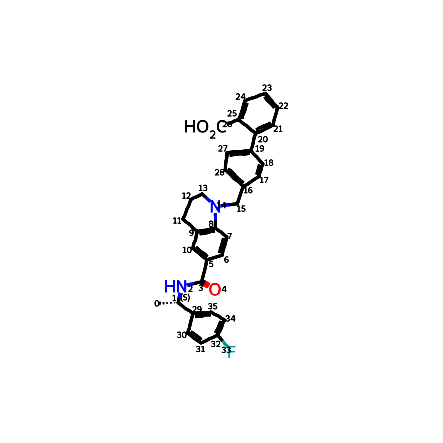 C[C@H](NC(=O)c1ccc2c(c1)CCCN2Cc1ccc(-c2ccccc2C(=O)O)cc1)c1ccc(F)cc1